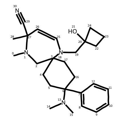 CN1CC2(CCC(c3ccccc3)(N(C)C)CC2)N(CC2(O)CCC2)C=CC1(C)C#N